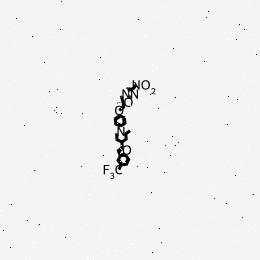 CC1CC(c2cc3cc(C(F)(F)F)ccc3o2)CCN1c1ccc(OC[C@@]2(C)Cn3cc([N+](=O)[O-])nc3O2)cc1